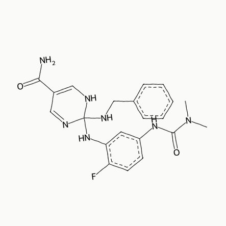 CN(C)C(=O)Nc1ccc(F)c(NC2(NCc3ccccc3)N=CC(C(N)=O)=CN2)c1